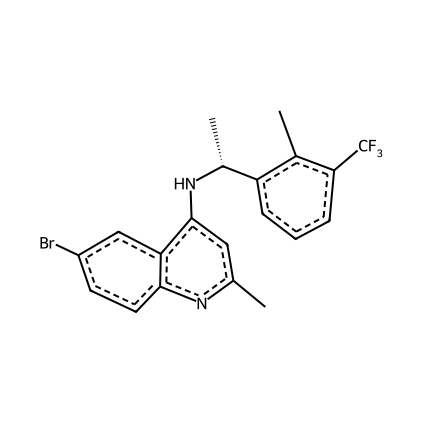 Cc1cc(N[C@H](C)c2cccc(C(F)(F)F)c2C)c2cc(Br)ccc2n1